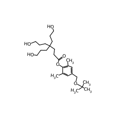 Cc1cc(COC(C)(C)C)cc(C)c1OC(=O)CCC(CCCO)(CCCO)CCCO